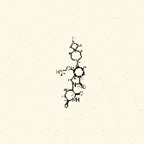 COc1c(N2CCC3(CC2)CNC3)ccc2c1CN(C1CCC(=O)NC1=O)C2=O